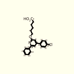 O=C(O)CCCCCOc1cc(-c2ccc(Cl)cc2)cc(-c2ccccc2)n1